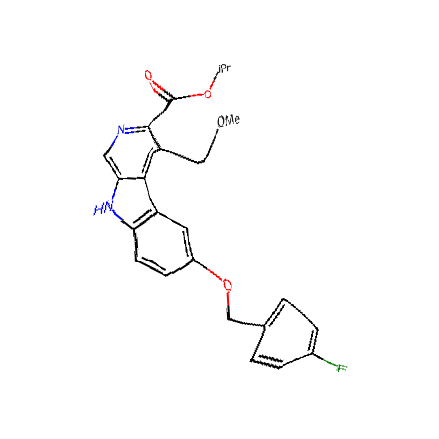 COCc1c(C(=O)OC(C)C)ncc2[nH]c3ccc(OCc4ccc(F)cc4)cc3c12